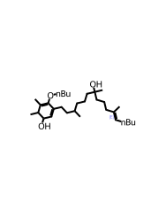 CCCC/C=C(\C)CCCC(C)(O)CCCC(C)CCC1=CC(O)C(C)C(C)=C1OCCCC